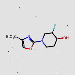 CCOC(=O)c1coc(N2CC[C@H](O)[C@H](F)C2)n1